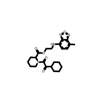 Cc1ccc(NCCOC(=O)C2CCCCN2C(=O)C(=O)C2CCCCC2)c2nonc12